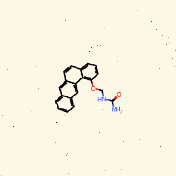 NC(=O)NCOc1cccc2ccc3cc4ccccc4cc3c12